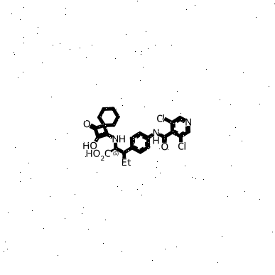 CCC(c1ccc(NC(=O)c2c(Cl)cncc2Cl)cc1)[C@H](NC1=C(O)C(=O)C12CCCCC2)C(=O)O